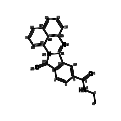 CCNC(=O)c1ccc2c(c1)C1=Nc3cccc4cccc(c34)N1C2=O